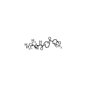 CN1CC(C(=O)N2CCCN(C(=O)Nc3ncc(C(C)(C)C)s3)CC2)CCC1=O